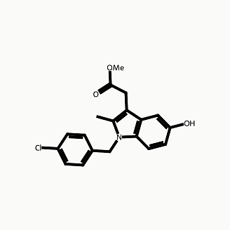 COC(=O)Cc1c(C)n(Cc2ccc(Cl)cc2)c2ccc(O)cc12